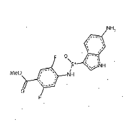 COC(=O)c1cc(F)c(N[S+]([O-])c2c[nH]c3cc(N)ccc23)cc1F